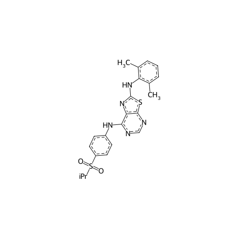 Cc1cccc(C)c1Nc1nc2c(Nc3ccc(S(=O)(=O)C(C)C)cc3)ncnc2s1